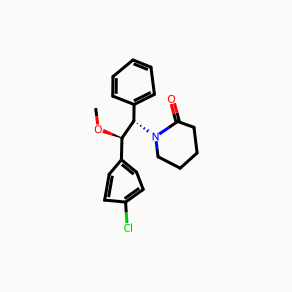 CO[C@H](c1ccc(Cl)cc1)[C@H](c1ccccc1)N1CCCCC1=O